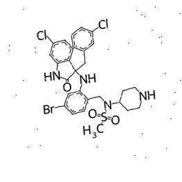 CS(=O)(=O)N(Cc1ccc(Br)cc1NC1(Cc2cccc(Cl)c2)C(=O)Nc2cc(Cl)ccc21)C1CCNCC1